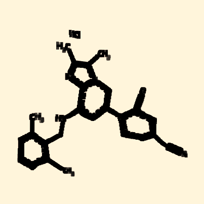 Cc1cccc(C)c1CNc1cc(-n2ccc(C#N)cc2=O)cn2c(C)c(C)nc12.Cl